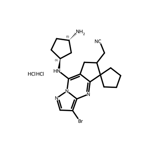 Cl.Cl.N#CCC1Cc2c(nc3c(Br)cnn3c2N[C@H]2CC[C@H](N)C2)C12CCCC2